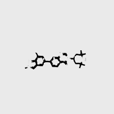 Cc1cc(-c2ccc3c(=O)n(C4CC(C)(C)NC(C)(C)C4)cnc3c2)cc2cn(C)nc12.Cl